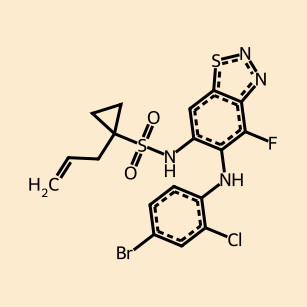 C=CCC1(S(=O)(=O)Nc2cc3snnc3c(F)c2Nc2ccc(Br)cc2Cl)CC1